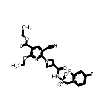 CCOC(=O)c1cc(C#N)c(N2CC(C(=O)NS(=O)(=O)Cc3ccc(F)cc3F)C2)nc1OCC